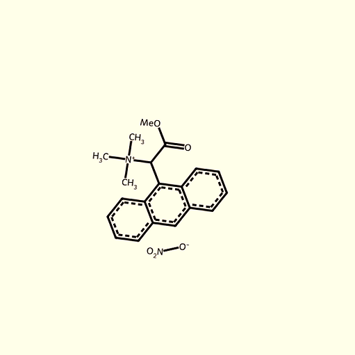 COC(=O)C(c1c2ccccc2cc2ccccc12)[N+](C)(C)C.O=[N+]([O-])[O-]